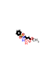 COC(=O)C[C@@H](O)CNS(=O)(=O)c1ccccc1